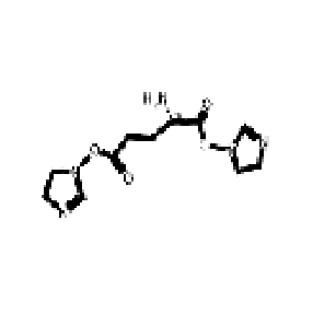 N[C@@H](CCC(=O)ON1C=NCC1)C(=O)ON1C=NCC1